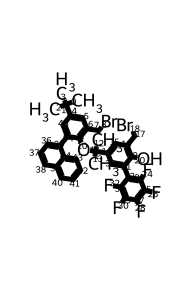 CC(C)(C)c1cc(CBr)c(OC(C)(C)c2cc(CBr)c(O)c(-c3c(F)c(F)c(F)c(F)c3F)c2)c(-c2cccc3ccccc23)c1